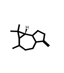 C=C1CCC2C1CCC(C)C1[C@@H]2C1(C)C